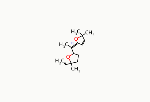 C=CC1(C)CCC(/C(C)=C2\C=CC(C)(C)O2)O1